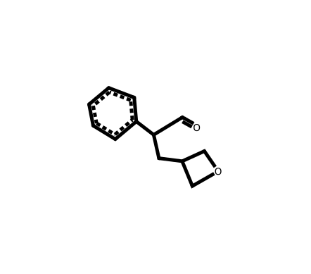 O=[C]C(CC1COC1)c1ccccc1